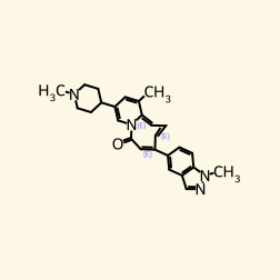 CC1=CC(C2CCN(C)CC2)=CN2C(=O)\C=C(c3ccc4c(cnn4C)c3)/C=C/C=C\12